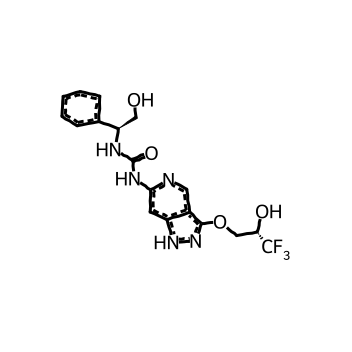 O=C(Nc1cc2[nH]nc(OC[C@H](O)C(F)(F)F)c2cn1)N[C@H](CO)c1ccccc1